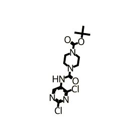 CC(C)(C)OC(=O)N1CCN(C(=O)Nc2cnc(Cl)nc2Cl)CC1